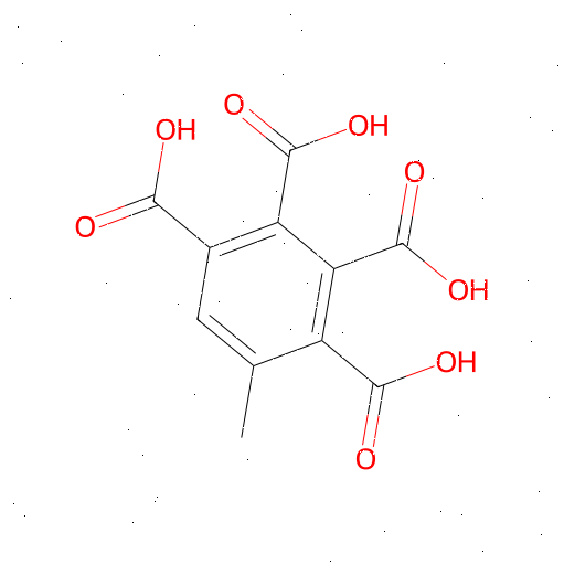 Cc1cc(C(=O)O)c(C(=O)O)c(C(=O)O)c1C(=O)O